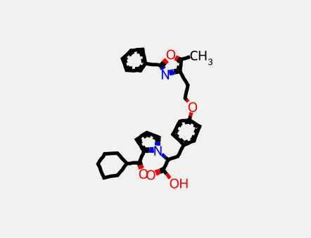 Cc1oc(-c2ccccc2)nc1CCOc1ccc(CC(C(=O)O)n2cccc2C(=O)C2CCCCC2)cc1